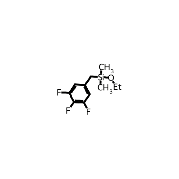 CCO[Si](C)(C)Cc1cc(F)c(F)c(F)c1